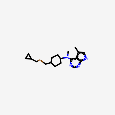 Cc1c[nH]c2ncnc(N(C)C3CCC(CSCC4CC4)CC3)c12